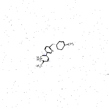 C=C(C)/C=C\C(=C/C)c1ccc(C[C@H]2CC[C@H](C)CC2)nc1